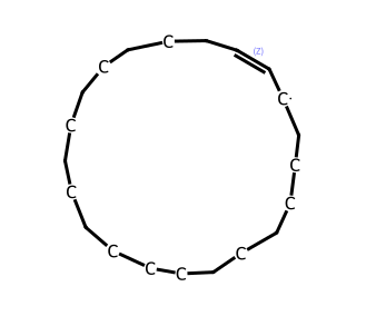 [CH]1/C=C\CCCCCCCCCCCCCCCCCC1